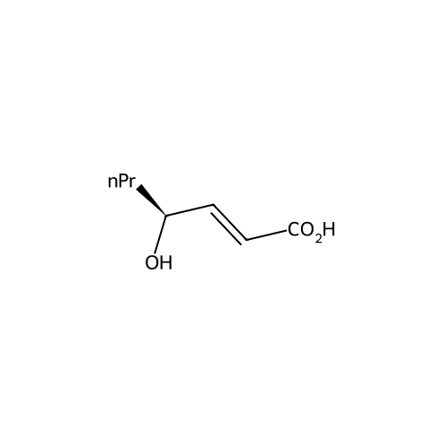 CCC[C@H](O)/C=C/C(=O)O